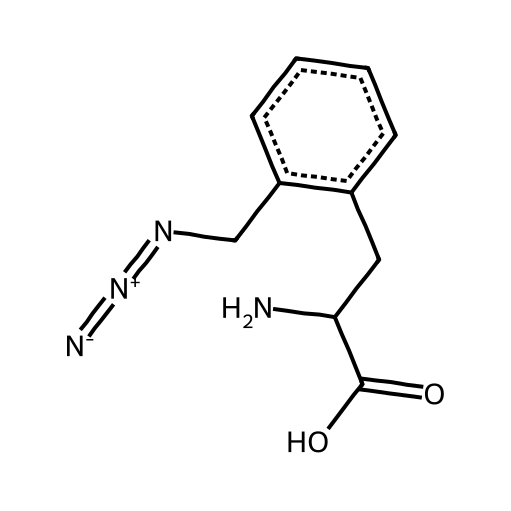 [N-]=[N+]=NCc1ccccc1CC(N)C(=O)O